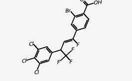 O=C(O)c1ccc(C(F)=CC(c2cc(Cl)c(Cl)c(Cl)c2)C(F)(F)F)cc1Br